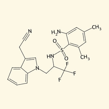 Cc1cc(C)c(S(=O)(=O)NC(Cn2cc(CC#N)c3ccccc32)C(F)(F)F)c(N)c1